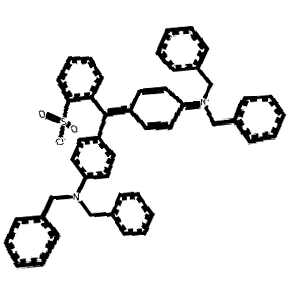 O=S(=O)([O-])c1ccccc1C(=C1C=CC(=[N+](Cc2ccccc2)Cc2ccccc2)C=C1)c1ccc(N(Cc2ccccc2)Cc2ccccc2)cc1